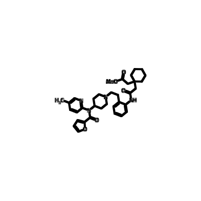 COC(=O)CC1(CC(=O)Nc2ccccc2CCN2CCC(N(C(=O)c3ccco3)c3ccc(C)cn3)CC2)CCCCC1